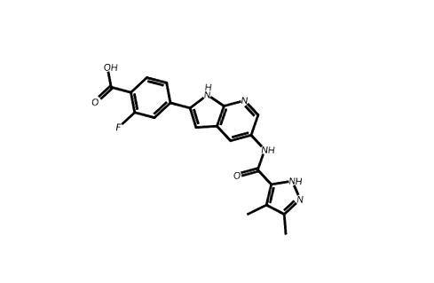 Cc1n[nH]c(C(=O)Nc2cnc3[nH]c(-c4ccc(C(=O)O)c(F)c4)cc3c2)c1C